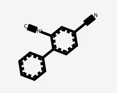 [C-]#[N+]c1cc(C#N)ccc1-c1ccccc1